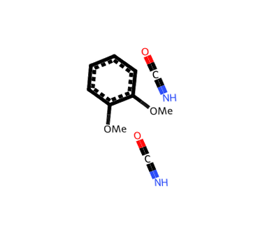 COc1ccccc1OC.N=C=O.N=C=O